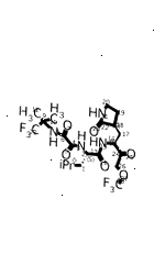 CC(C)C[C@H](NC(=O)C(=O)NC(C)(C)C(F)(F)F)C(=O)N[C@@H](C[C@@H]1CCNC1=O)C(=O)COC(F)(F)F